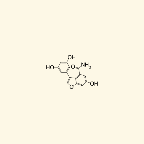 NC(=O)c1cc(O)cc2occ(-c3cc(O)cc(O)c3)c12